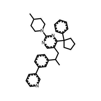 CC1CCN(c2ncc(CC(C)c3cccc(-c4cccnc4)c3)c(C3(c4ccccc4)CCCC3)n2)CC1